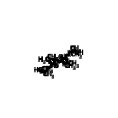 CC1(C)C=C(C=CC2=CC(C)(C)C=C(CCCC(C)(C)CO)C2=O)C(=O)C(CCCC(C)(C)CO)=C1